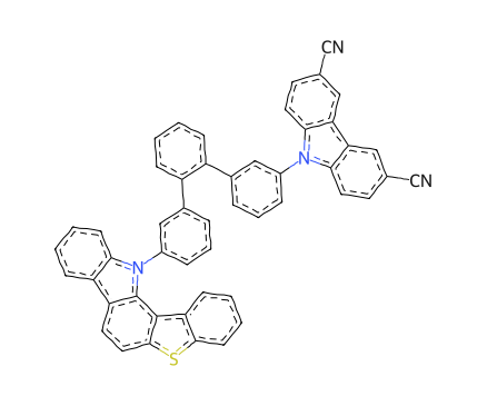 N#Cc1ccc2c(c1)c1cc(C#N)ccc1n2-c1cccc(-c2ccccc2-c2cccc(-n3c4ccccc4c4ccc5sc6ccccc6c5c43)c2)c1